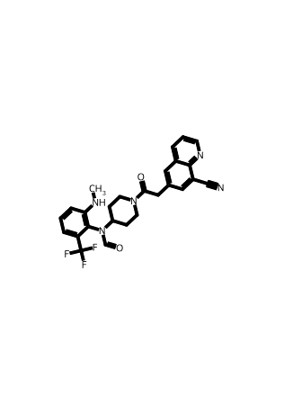 CNc1cccc(C(F)(F)F)c1N(C=O)C1CCN(C(=O)Cc2cc(C#N)c3ncccc3c2)CC1